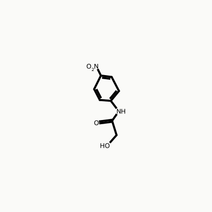 O=C(CO)Nc1ccc([N+](=O)[O-])cc1